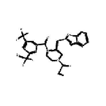 CCC(=O)N1CCN(C(=O)c2cc(C(F)(F)F)cc(C(F)(F)F)c2)C(Cc2cc3ccccc3o2)C1